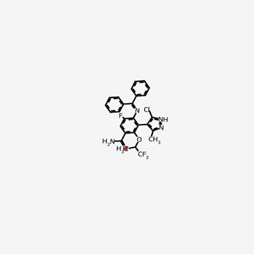 Cc1n[nH]c(Cl)c1-c1c(N=C(c2ccccc2)c2ccccc2)c(F)cc(C(N)=O)c1OC(C)C(F)(F)F